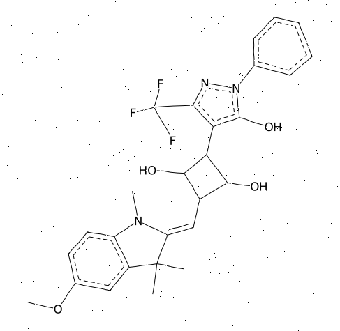 COc1ccc2c(c1)C(C)(C)C(=CC1C(O)C(c3c(C(F)(F)F)nn(-c4ccccc4)c3O)C1O)N2C